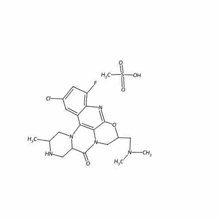 CC1CN2c3c4c(nc5c(F)cc(Cl)cc35)OC(CN(C)C)CN4C(=O)C2CN1.CS(=O)(=O)O